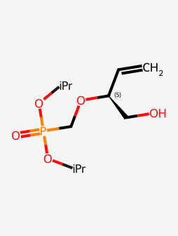 C=C[C@@H](CO)OCP(=O)(OC(C)C)OC(C)C